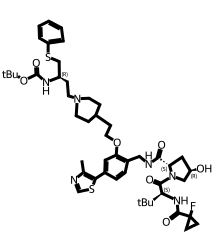 Cc1ncsc1-c1ccc(CNC(=O)[C@@H]2C[C@@H](O)CN2C(=O)[C@@H](NC(=O)C2(F)CC2)C(C)(C)C)c(OCCC2CCN(CC[C@H](CSc3ccccc3)NC(=O)OC(C)(C)C)CC2)c1